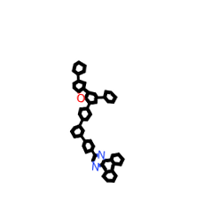 c1ccc(-c2ccc3oc4c(-c5ccc(-c6cccc(-c7ccc(-c8cnc9c%10ccccc%10c%10ccccc%10c9n8)cc7)c6)cc5)cc(-c5ccccc5)cc4c3c2)cc1